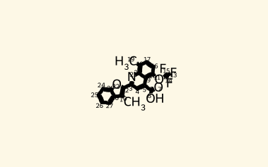 Cc1c(-c2cc(C(=O)O)c3c(OC(F)(F)F)ccc(C)c3n2)oc2ccccc12